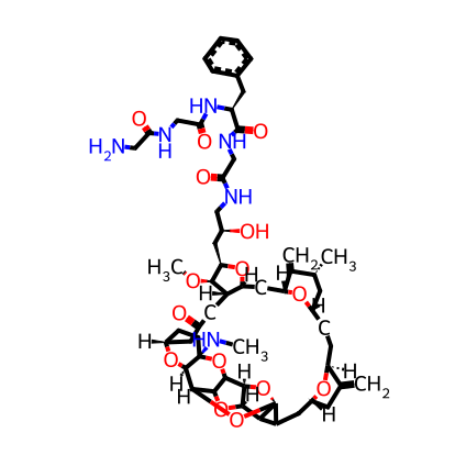 C=C1C[C@@H]2CC3C4[C@H]5OC6C7O[C@@]8(NC)CC[C@H](CC(=O)C[C@@H]9[C@@H](OC)[C@@H](C[C@H](O)CNC(=O)CNC(=O)[C@H](Cc%10ccccc%10)NC(=O)CNC(=O)CN)O[C@H]9C[C@H]9O[C@@H](CC[C@@H]1O2)C[C@@H](C)C9=C)O[C@@H]8[C@@H]6O[C@@]34O[C@H]75